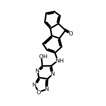 O=C1c2ccccc2-c2ccc(Nc3nc4nonc4nc3O)cc21